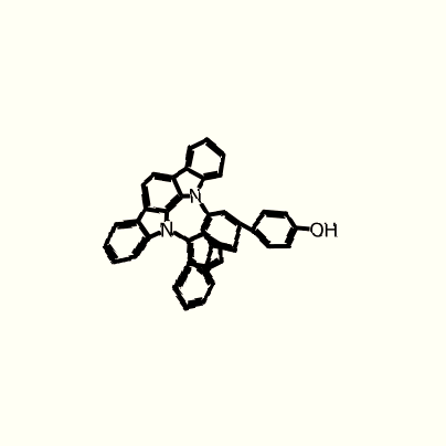 Oc1ccc(-c2cc(-c3ccccc3)cc(-n3c4ccccc4c4ccc5c6ccccc6n(-c6ccccc6)c5c43)c2)cc1